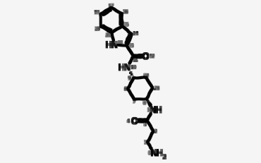 NCCC(=O)N[C@H]1CC[C@H](NC(=O)c2cc3ccccc3[nH]2)CC1